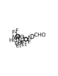 CCC1(CC)C(=O)N(c2ccc(C(F)F)cc2O)[C@H]1c1cc(F)c(N2CCC(C=O)CC2)cc1OC